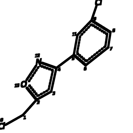 ClCc1cc(-c2cccc(Cl)c2)no1